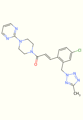 Cc1nnn(Cc2cc(Cl)ccc2/C=C/C(=O)N2CCN(c3ncccn3)CC2)n1